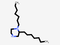 CCCCCCCC1CNCCN1CCCCCCC